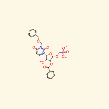 COC1C(OC(=O)c2ccccc2)[C@@H](OCP(=O)(OC)OC)O[C@H]1n1ccc(=O)n(COCc2ccccc2)c1=O